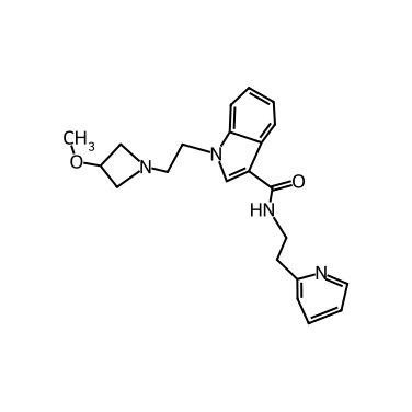 COC1CN(CCn2cc(C(=O)NCCc3ccccn3)c3ccccc32)C1